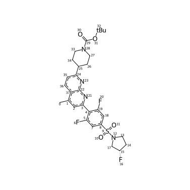 Cc1cc(-c2c(F)cc(S(=O)(=O)N3CC[C@H](F)C3)cc2F)nc2nc(C3CCN(C(=O)OC(C)(C)C)CC3)ccc12